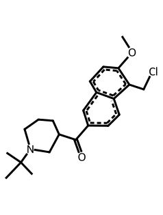 COc1ccc2cc(C(=O)C3CCCN(C(C)(C)C)C3)ccc2c1CCl